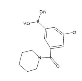 O=C(c1cc(Cl)cc(B(O)O)c1)N1CCCCC1